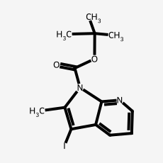 Cc1c(I)c2cccnc2n1C(=O)OC(C)(C)C